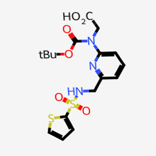 CC(C)(C)OC(=O)N(CC(=O)O)c1cccc(CNS(=O)(=O)c2cccs2)n1